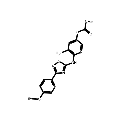 CNC(=O)Oc1cnc(Nc2nc(-c3ccc(OC(C)C)cn3)ns2)c(C)c1